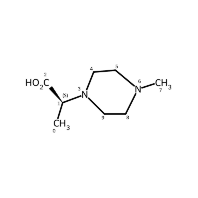 C[C@@H](C(=O)O)N1CCN(C)CC1